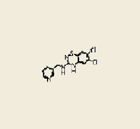 Clc1cc2c(cc1Cl)SN=C(NCc1cccnc1)N2